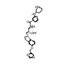 O=C(NC[C@H](O)CN1CCc2cc(OCc3cnco3)ccc2C1)c1ccnc(NC2CCCNC2)c1